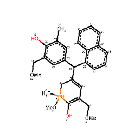 COCC1=C(O)[PH](C)(OC)CC(C(c2cc(C)c(O)c(COC)c2)c2cccc3ccccc23)=C1